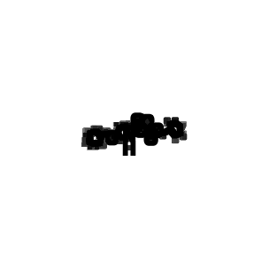 O=C(OCc1ccccc1)C(=O)OC(=O)[C@@H]1CC[C@@H](OCc2ccccc2)CN1